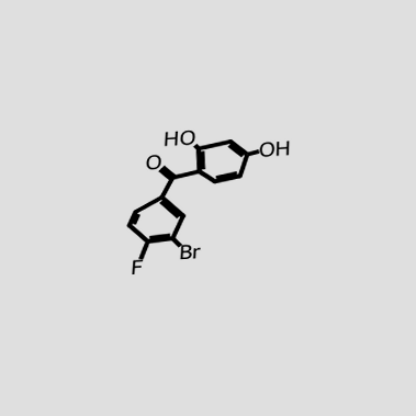 O=C(c1ccc(F)c(Br)c1)c1ccc(O)cc1O